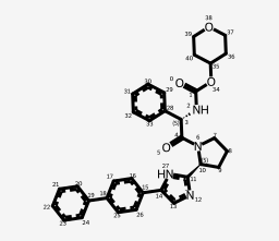 O=C(N[C@H](C(=O)N1CCC[C@H]1c1ncc(-c2ccc(-c3ccccc3)cc2)[nH]1)c1ccccc1)OC1CCOCC1